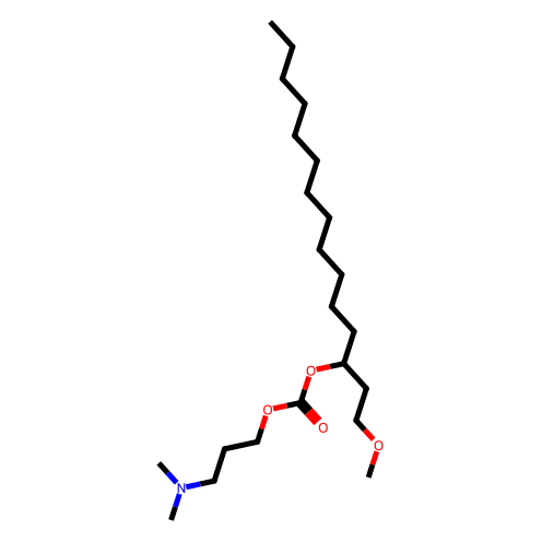 CCCCCCCCCCCCC(CCOC)OC(=O)OCCCN(C)C